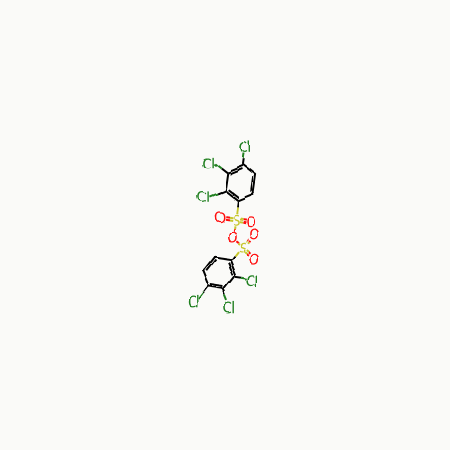 O=S(=O)(OS(=O)(=O)c1ccc(Cl)c(Cl)c1Cl)c1ccc(Cl)c(Cl)c1Cl